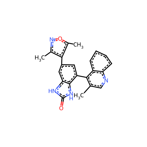 Cc1cnc2ccccc2c1-c1cc(-c2c(C)noc2C)cc2[nH]c(=O)[nH]c12